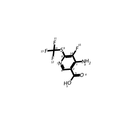 Nc1c(C(=O)O)cnc(SC(F)(F)F)c1F